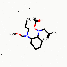 C=C(C)CN(OC(C)=O)C1CCCCC1N(CCC)COC